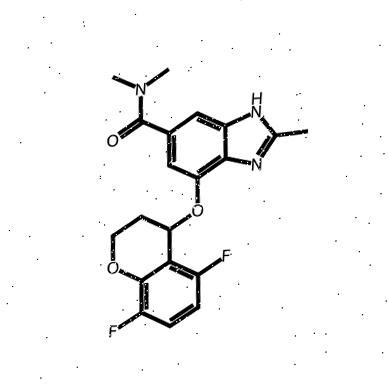 Cc1nc2c(OC3CCOc4c(F)ccc(F)c43)cc(C(=O)N(C)C)cc2[nH]1